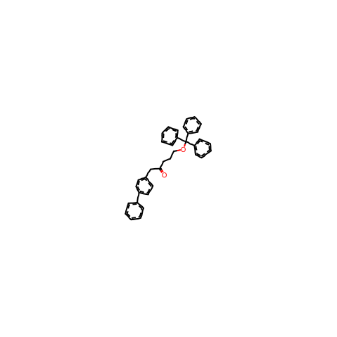 O=C(CCCOC(c1ccccc1)(c1ccccc1)c1ccccc1)Cc1ccc(-c2ccccc2)cc1